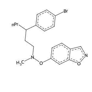 CCCC(CCN(C)Oc1ccc2cnoc2c1)c1ccc(Br)cc1